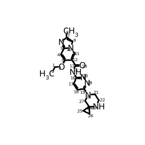 CCOc1cc2nc(C)cn2cc1C(=O)Nc1ccc(N2CCNC3(CC3)C2)nn1